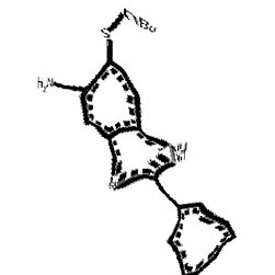 CCCCSc1cc2[nH]c(-c3ccccc3)nc2cc1N